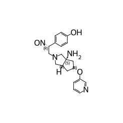 N[C@@]12C[C@H](Oc3cccnc3)C[C@@H]1CN(C[C@H](N=O)c1ccc(O)cc1)C2